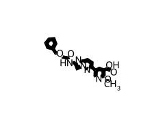 COc1ncc(-c2ccc3nc(NC(=O)COCc4ccccc4)cn3n2)cc1C(=O)O